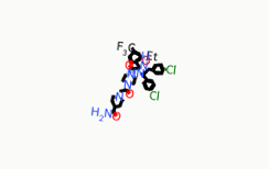 CCOc1cc(C(F)(F)F)ccc1C1(C(=O)N2CCN(C(=O)CN3CCC(C(N)=O)CC3)CC2)NC(c2ccc(Cl)cc2)C(c2ccc(Cl)cc2)N1